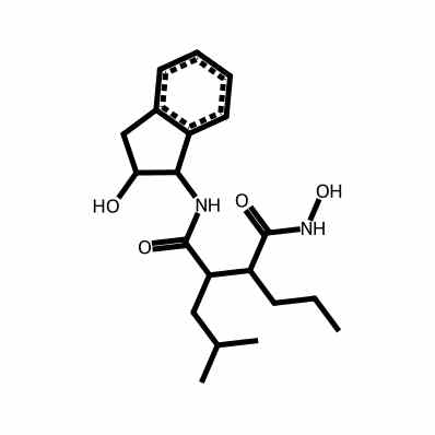 CCCC(C(=O)NO)C(CC(C)C)C(=O)NC1c2ccccc2CC1O